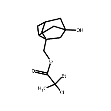 CCC(C)(Cl)C(=O)OCC12CC3CC1CC(O)(C3)C2